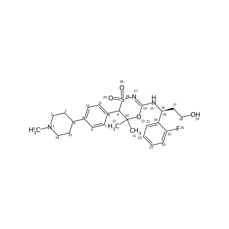 CN1CCC(c2ccc(C3C(C)(C)OC(N[C@@H](CCO)c4ccccc4F)=NS3(=O)=O)cc2)CC1